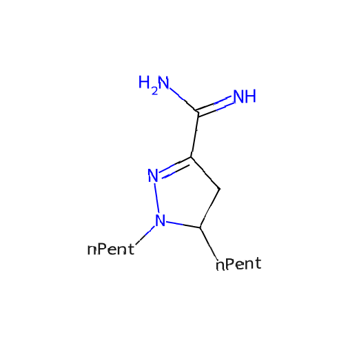 CCCCCC1CC(C(=N)N)=NN1CCCCC